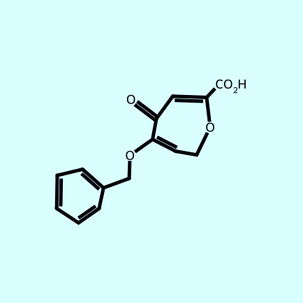 O=C(O)C1=CC(=O)C(OCc2ccccc2)=CCO1